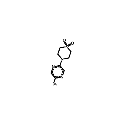 CC(C)c1cnc(N2CCS(=O)(=O)CC2)cn1